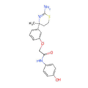 CC1(c2cccc(OCC(=O)Nc3ccc(O)cc3)c2)CCSC(N)=N1